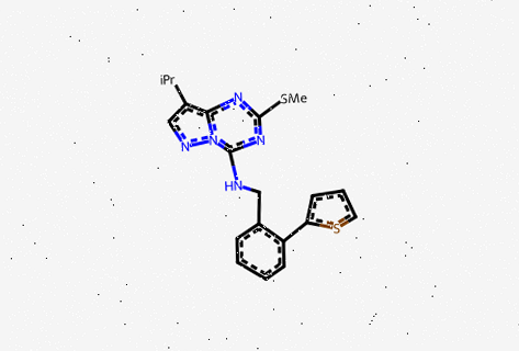 CSc1nc(NCc2ccccc2-c2cccs2)n2ncc(C(C)C)c2n1